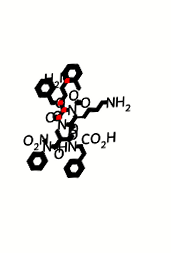 NCCCCCC(=O)N(CC(C(=O)N[C@@H](Cc1ccccc1)C(=O)O)C(=O)N(c1ccccc1)[N+](=O)[O-])C(=O)[C@H](CCCCN)N(C(=O)OCc1ccccc1)C(=O)OCc1ccccc1